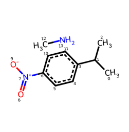 CC(C)c1ccc([N+](=O)[O-])cc1.CN